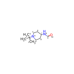 CC(C)(C)N1CCC(NC=O)CC1